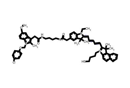 CCN1/C(=C/C=C/C=C/C2=[N+](CCCCS)c3ccc4ccccc4c3C2(C)C)C(C)(C)c2cc(CC(=O)NCCCCNC(=O)Cc3c(C)n(COc4ccc(Cl)cc4)c4ccc(OC)cc34)ccc21